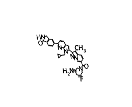 Cc1c(-c2cc3ccc(-c4ccc5c(c4)CNC5=O)nc3n2CC2CC2)nn2cc(C(=O)N3C[C@H](N)C[C@@H](F)C3)ccc12